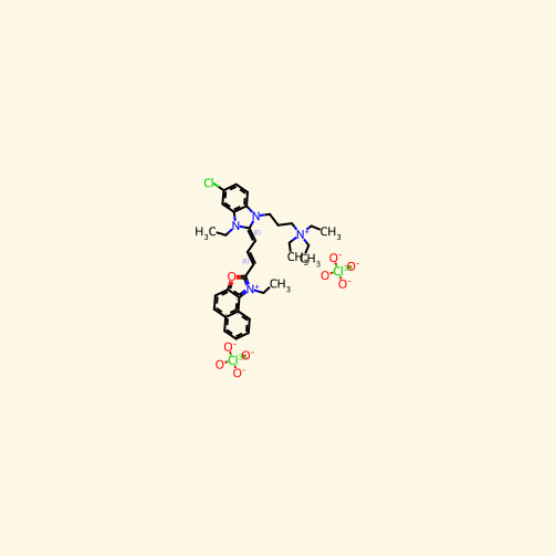 CCN1/C(=C\C=C\c2oc3ccc4ccccc4c3[n+]2CC)N(CCC[N+](CC)(CC)CC)c2ccc(Cl)cc21.[O-][Cl+3]([O-])([O-])[O-].[O-][Cl+3]([O-])([O-])[O-]